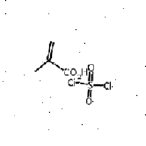 C=C(C)C(=O)O.O=S(=O)(Cl)Cl